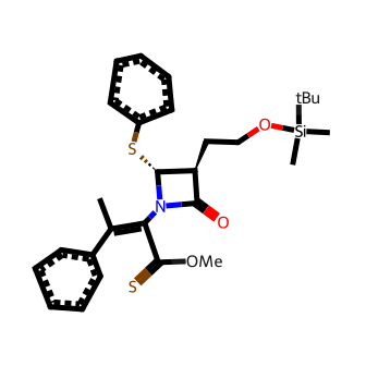 COC(=S)/C(=C(/C)c1ccccc1)N1C(=O)[C@H](CCO[Si](C)(C)C(C)(C)C)[C@H]1Sc1ccccc1